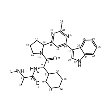 CNC(C)C(=O)N[C@H](C(=O)N1CCCC1c1cc(-c2c[nH]c3ccccc23)nc(C)n1)C1CCCCC1